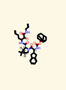 C=CCCC(NC(=O)[C@@H]1[C@@H]2[C@H](CN1C(=O)[C@@H](NC(=O)OC13CC4CC(CC(C4)C1)C3)C1Cc3ccccc3C1)C2(C)C)C(=O)C(=O)NCC=C